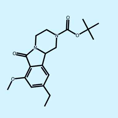 CCc1cc(OC)c2c(c1)C1CN(C(=O)OC(C)(C)C)CCN1C2=O